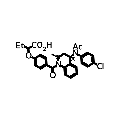 CCC(Oc1ccc(C(=O)N2c3ccccc3[C@H](N(C(C)=O)c3ccc(Cl)cc3)C[C@@H]2C)cc1)C(=O)O